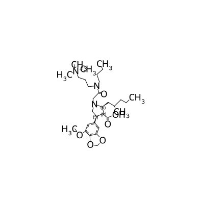 CCCCN(CCC[N+](C)(C)C)C(=O)CN1C[C@H](c2cc(OC)c3c(c2)OCO3)[C@@H](C(=O)O)[C@@H]1CC(C)CCC